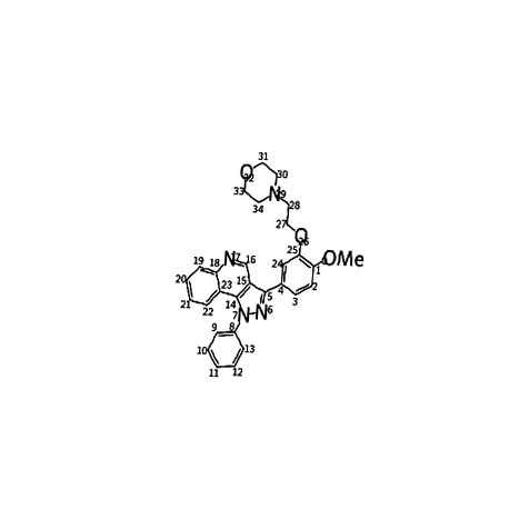 COc1ccc(-c2nn(-c3ccccc3)c3c2cnc2ccccc23)cc1OCCN1CCOCC1